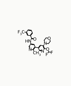 Cc1ncc(NC(=O)c2cccc(C(F)(F)F)c2)cc1-c1cnc(OC(F)F)c(N2CCOCC2)c1